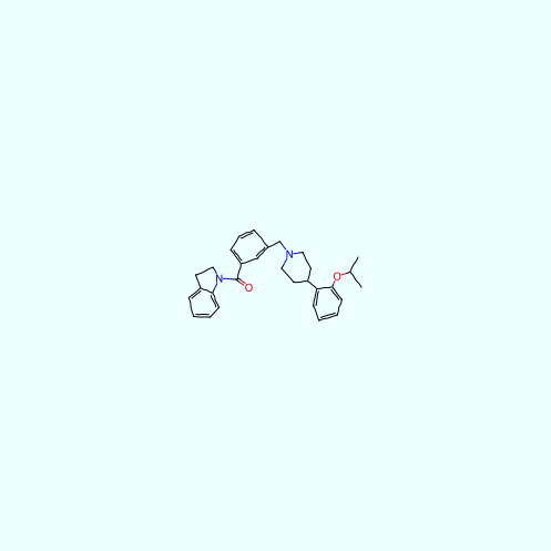 CC(C)Oc1ccccc1C1CCN(Cc2cccc(C(=O)N3CCc4ccccc43)c2)CC1